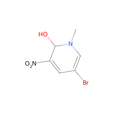 CN1C=C(Br)C=C([N+](=O)[O-])C1O